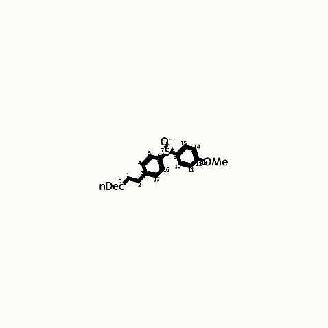 CCCCCCCCCCCCc1ccc([S+]([O-])c2ccc(OC)cc2)cc1